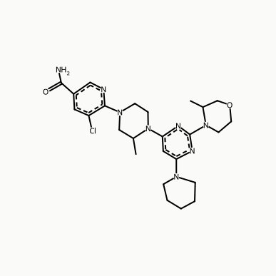 CC1CN(c2ncc(C(N)=O)cc2Cl)CCN1c1cc(N2CCCCC2)nc(N2CCOCC2C)n1